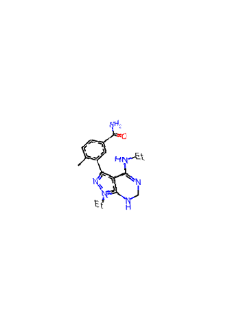 CCNC1=NCNc2c1c(-c1cc(C(N)=O)ccc1C)nn2CC